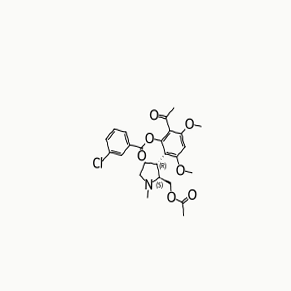 COc1cc(OC)c([C@H]2CCN(C)[C@@H]2COC(C)=O)c(OC(=O)c2cccc(Cl)c2)c1C(C)=O